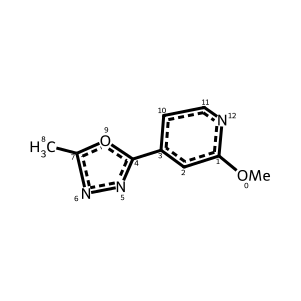 COc1cc(-c2nnc(C)o2)ccn1